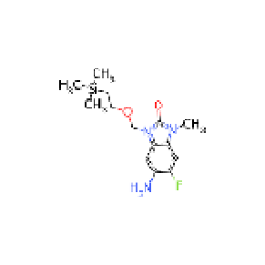 Cn1c(=O)n(COCC[Si](C)(C)C)c2cc(N)c(F)cc21